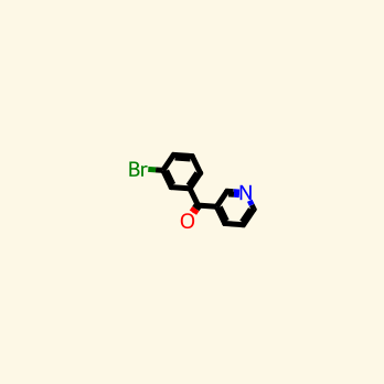 O=C(c1cccnc1)c1cccc(Br)c1